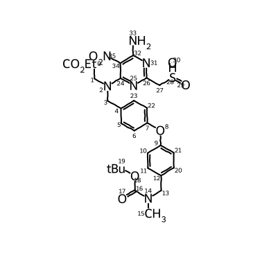 CCOC(=O)CN(Cc1ccc(Oc2ccc(CN(C)C(=O)OC(C)(C)C)cc2)cc1)c1nc(C[SH](=O)=O)nc(N)c1[N+](=O)[O-]